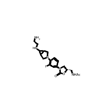 CC(=O)NC[C@H]1CN(c2ccc(N3CC4C(C3)C4NCCN)c(F)c2)C(=O)O1